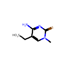 Cn1cc(CS(=O)(=O)O)c(N)nc1=S